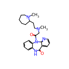 CN(CCC1CCCCCN1C)CC(=O)N1c2ccccc2NC(=O)c2cccnc21